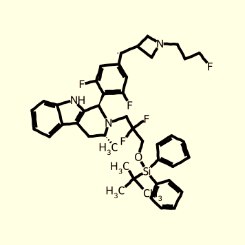 C[C@@H]1Cc2c([nH]c3ccccc23)[C@@H](c2c(F)cc([CH]C3CN(CCCF)C3)cc2F)N1CC(F)(F)CO[Si](c1ccccc1)(c1ccccc1)C(C)(C)C